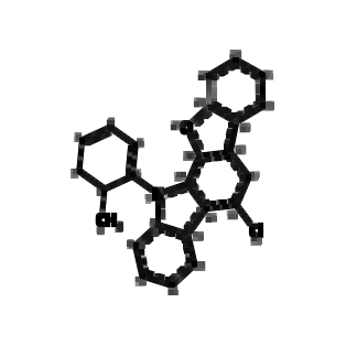 CC1CC=CC=C1n1c2ccccc2c2c(Cl)cc3c4ccccc4oc3c21